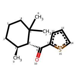 C[C@H]1CCCC(C)(C)[C@@H]1C(=O)c1cccs1